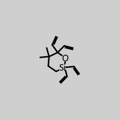 C=CC1(C=C)O[Si](C=C)(C=C)CCC1(C)C